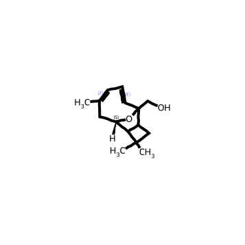 C/C1=C/C=C/C2(CO)O[C@@H](C1)C1C2CC1(C)C